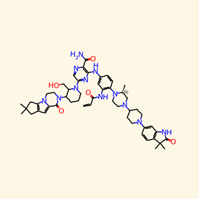 C=CC(=O)Nc1cc(Nc2nc(N3CCCC(N4CCn5c(cc6c5CC(C)(C)C6)C4=O)C3CO)cnc2C(N)=O)ccc1N1CCN(C2CCN(c3ccc4c(c3)NC(=O)C4(C)C)CC2)C[C@@H]1C